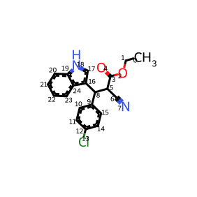 CCOC(=O)C(C#N)C(c1ccc(Cl)cc1)c1c[nH]c2ccccc12